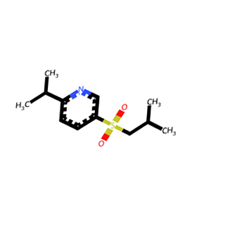 CC(C)CS(=O)(=O)c1ccc(C(C)C)nc1